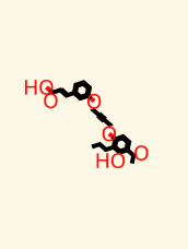 CCCc1c(OCC#CCOc2cccc(/C=C/C(=O)O)c2)ccc(C(C)=O)c1O